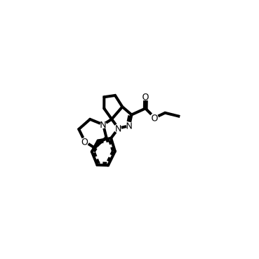 CCOC(=O)C1=NN(c2ccccc2)C2(N3CCOCC3)CCCC12